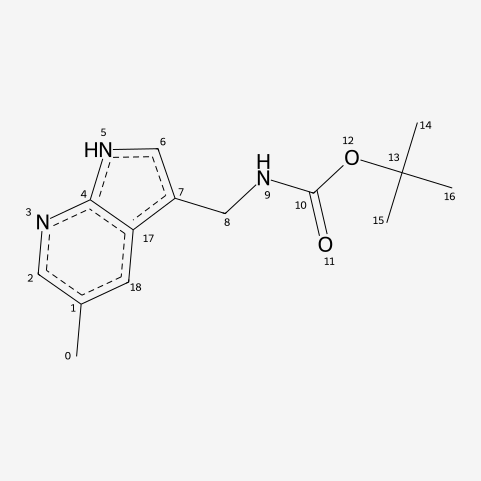 Cc1cnc2[nH]cc(CNC(=O)OC(C)(C)C)c2c1